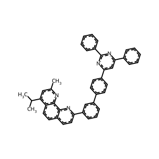 Cc1cc(C(C)C)c2ccc3ccc(-c4cccc(-c5ccc(-c6cc(-c7ccccc7)nc(-c7ccccc7)n6)cc5)c4)nc3c2n1